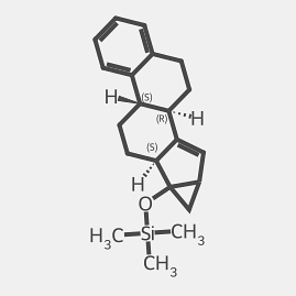 C[Si](C)(C)OC12CC1C=C1[C@@H]3CCc4ccccc4[C@H]3CC[C@@H]12